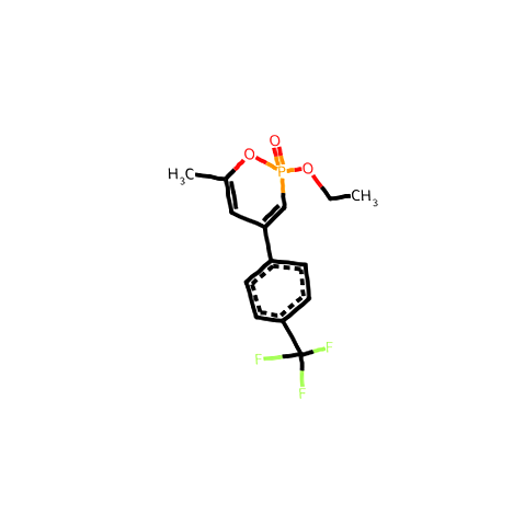 CCOP1(=O)C=C(c2ccc(C(F)(F)F)cc2)C=C(C)O1